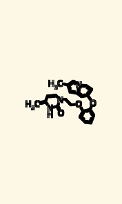 C=C1C=CN(CCOc2ccccc2Oc2ccn3cc(C)cc3c2)C(=O)N1